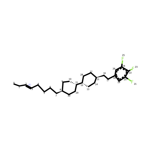 CC/C=C/CCCC[C@H]1CC[C@H]([C@H]2CC[C@H](CCc3cc(F)c(F)c(F)c3)CC2)CC1